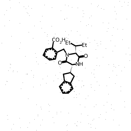 CCC(CC)[C@@H]1C(=O)N[C@H](C2Cc3ccccc3C2)C(=O)N1Cc1ccccc1C(=O)O